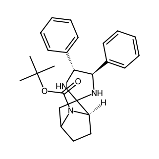 CC(C)(C)OC(=O)N1C2CC[C@@H]1C1(C2)N[C@H](c2ccccc2)[C@@H](c2ccccc2)N1